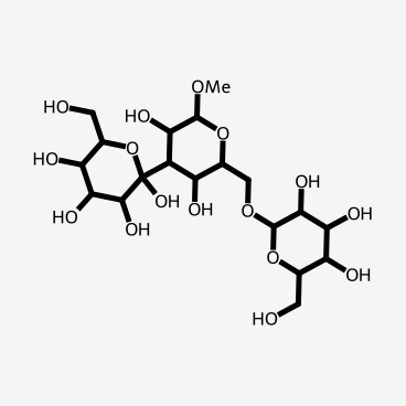 COC1OC(COC2OC(CO)C(O)C(O)C2O)C(O)C(C2(O)OC(CO)C(O)C(O)C2O)C1O